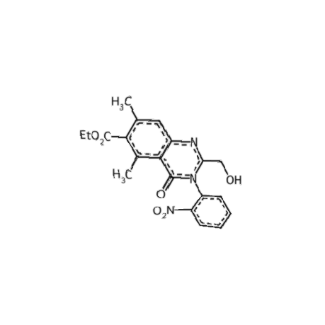 CCOC(=O)c1c(C)cc2nc(CO)n(-c3ccccc3[N+](=O)[O-])c(=O)c2c1C